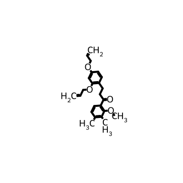 C=CCOc1ccc(CCC(=O)c2ccc(C)c(C)c2OC)c(OCC=C)c1